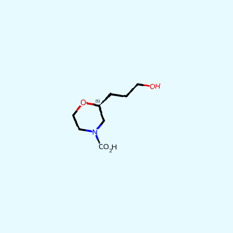 O=C(O)N1CCO[C@@H](CCCO)C1